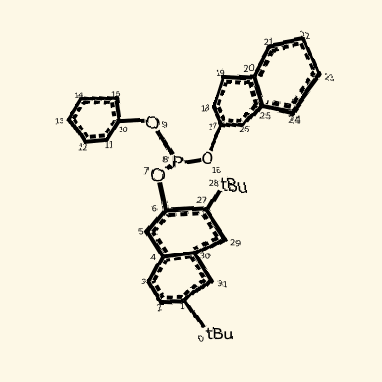 CC(C)(C)c1ccc2cc(OP(Oc3ccccc3)Oc3ccc4ccccc4c3)c(C(C)(C)C)cc2c1